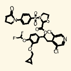 O=C(OC(Cc1c(Cl)cncc1Cl)c1ccc(OC(F)F)c(OCC2CC2)c1)C1SCCN1S(=O)(=O)c1ccc(N2CCCC2=O)cc1